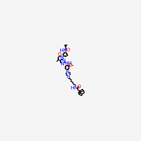 COc1cc(N2CCN(CCCCCCNC(=O)CC34CC5CC(CC(C5)C3)C4)CC2)ccc1Nc1ncc2c(C)cc(=O)n(-c3cccc(NC(=O)C4CC4)c3)c2n1